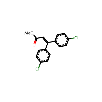 COC(=O)C=C(c1ccc(Cl)cc1)c1ccc(Cl)cc1